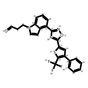 O=CCCn1ccc2c(-c3noc(-c4cc(-c5ccccc5)c(C(F)(F)F)s4)n3)cccc21